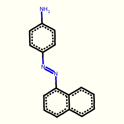 Nc1ccc(N=Nc2cccc3ccccc23)cc1